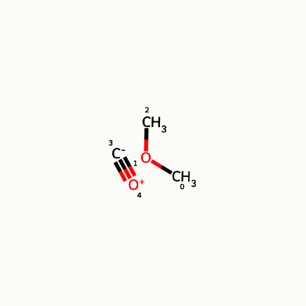 COC.[C-]#[O+]